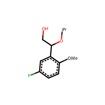 COc1ccc(F)cc1C(CO)OC(C)C